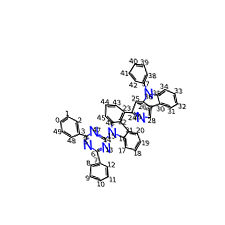 c1ccc(-c2nc(-c3ccccc3)nc(-n3c4ccccc4c4c(-c5cc6c(cn5)c5ccccc5n6-c5ccccc5)cccc43)n2)cc1